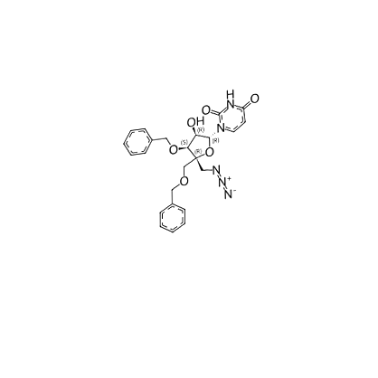 [N-]=[N+]=NC[C@]1(COCc2ccccc2)O[C@@H](n2ccc(=O)[nH]c2=O)[C@H](O)[C@@H]1OCc1ccccc1